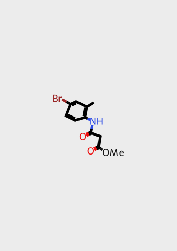 COC(=O)CC(=O)Nc1ccc(Br)cc1C